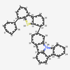 c1ccc(-c2cccc3c2sc2c(-c4ccc5c6cccc7c8ccccc8n(c5c4)c76)cccc23)cc1